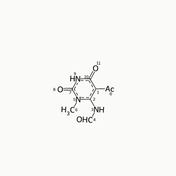 CC(=O)c1c(NC=O)n(C)c(=O)[nH]c1=O